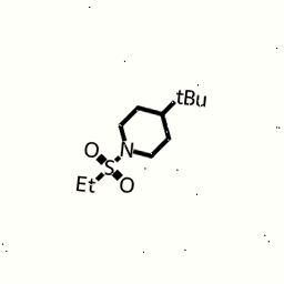 CCS(=O)(=O)N1CCC(C(C)(C)C)CC1